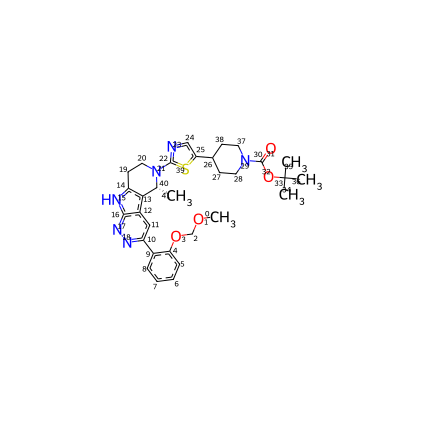 COCOc1ccccc1-c1cc2c3c([nH]c2nn1)CCN(c1ncc(C2CCN(C(=O)OC(C)(C)C)CC2)s1)[C@@H]3C